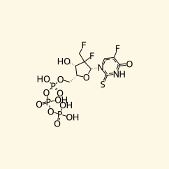 O=c1[nH]c(=S)n([C@@H]2O[C@H](COP(=O)(O)OP(=O)(O)OP(=O)(O)O)[C@H](O)C2(F)CF)cc1F